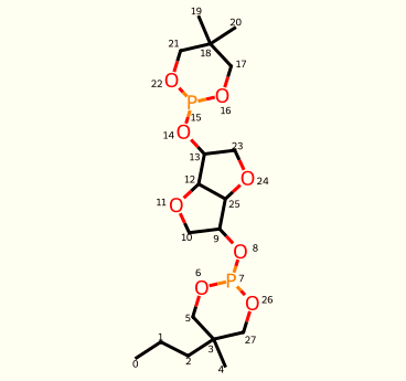 CCCC1(C)COP(OC2COC3C(OP4OCC(C)(C)CO4)COC23)OC1